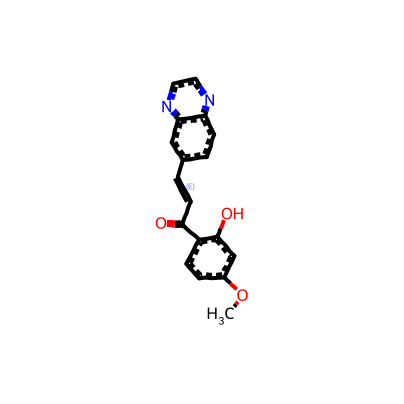 COc1ccc(C(=O)/C=C/c2ccc3nccnc3c2)c(O)c1